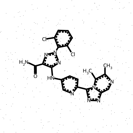 Cc1ncc2nnc(-c3ccc(Nc4nn(-c5c(Cl)cccc5Cl)nc4C(N)=O)cn3)n2c1C